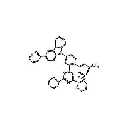 FC(F)(F)c1cc(-c2ccc(-n3c4ccccc4c4cc(-c5ccccc5)ccc43)cc2-c2nc(-c3ccccc3)nc(-c3ccccc3)n2)cc(C(F)(F)F)c1